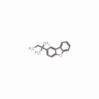 CCC(C)(C)c1ccc2oc3ccccc3c2c1